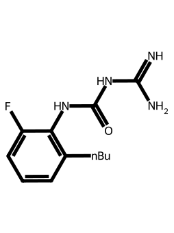 CCCCc1cccc(F)c1NC(=O)NC(=N)N